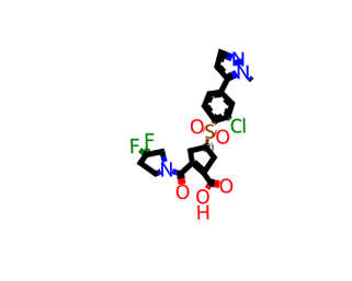 Cn1nccc1-c1ccc(S(=O)(=O)[C@H]2CC(C(=O)O)=C(C(=O)N3CCC(F)(F)C3)C2)c(Cl)c1